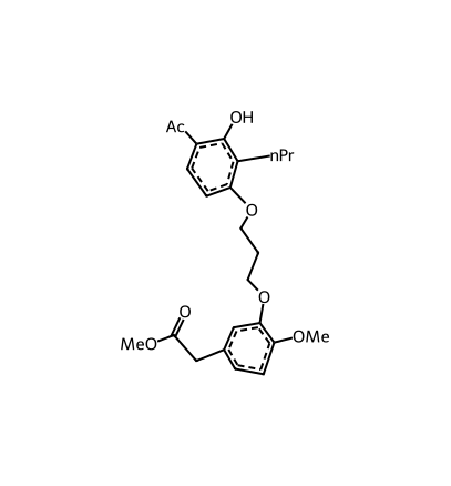 CCCc1c(OCCCOc2cc(CC(=O)OC)ccc2OC)ccc(C(C)=O)c1O